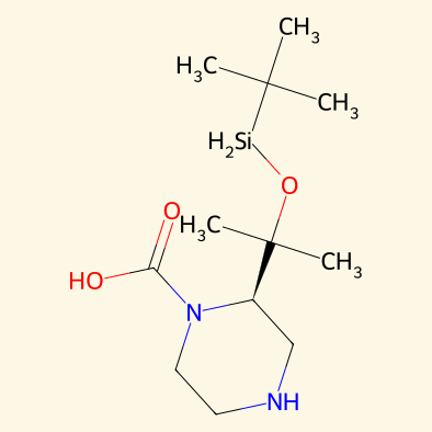 CC(C)(C)[SiH2]OC(C)(C)[C@H]1CNCCN1C(=O)O